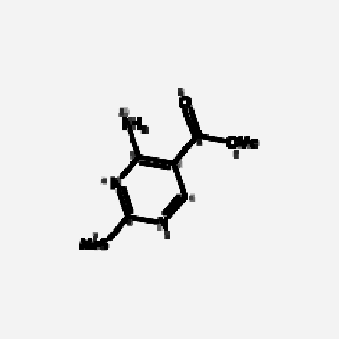 COC(=O)c1cnc(SC)nc1N